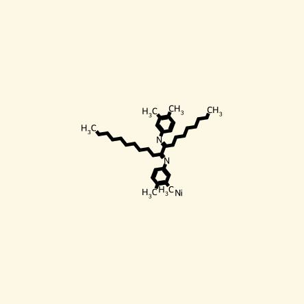 CCCCCCCCCCC(=N\c1ccc(C)c(C)c1)/C(CCCCCCCC)=N/c1ccc(C)c(C)c1.[Ni]